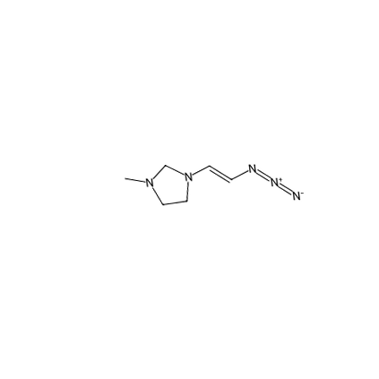 CN1CCN(/C=C/N=[N+]=[N-])C1